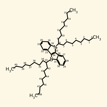 CCCCCCCCC(CCCCCCCC)n1c2ccccc2c2c1c1ccccc1n2C(CCCCCCCC)CCCCCCCC